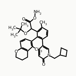 Cc1ccc(-c2ccc(=O)n(CC3CCC3)c2)c(-c2ccc3c(c2C)CCCO3)c1C(OC(C)(C)C)C(=O)ON